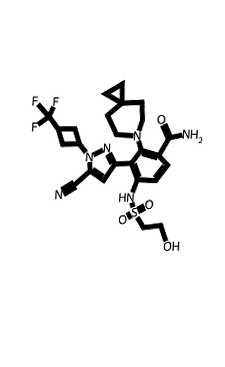 N#Cc1cc(-c2c(NS(=O)(=O)CCO)ccc(C(N)=O)c2N2CCC3(CC2)CC3)nn1C1CC(C(F)(F)F)C1